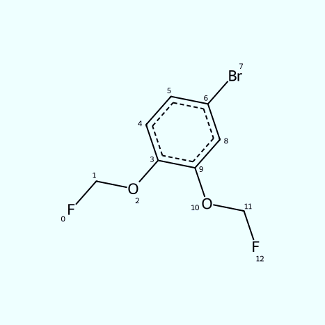 FCOc1ccc(Br)cc1OCF